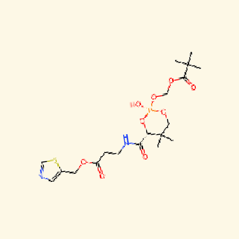 CC(C)(C)C(=O)OCO[P@@]1(O)OCC(C)(C)[C@H](C(=O)NCCC(=O)OCc2cncs2)O1